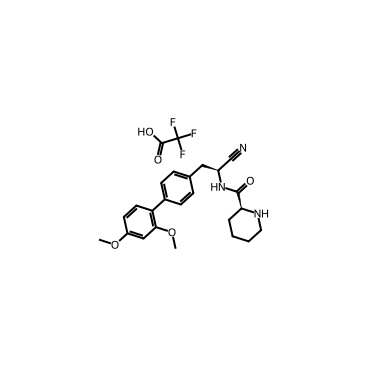 COc1ccc(-c2ccc(C[C@@H](C#N)NC(=O)[C@@H]3CCCCN3)cc2)c(OC)c1.O=C(O)C(F)(F)F